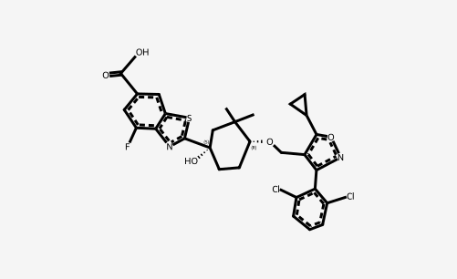 CC1(C)C[C@](O)(c2nc3c(F)cc(C(=O)O)cc3s2)CC[C@H]1OCc1c(-c2c(Cl)cccc2Cl)noc1C1CC1